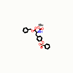 CC(C)(C)OC(=O)NC(Cc1ccc(OS(=O)(=O)c2ccccc2)cc1)C(=O)OCc1ccccc1